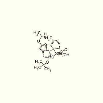 CC1=CC(c2cc(OC(C)(C)C)cc3nc(OC(C)C)sc23)(C(C)O)C(S(=O)(=O)O)C=C1